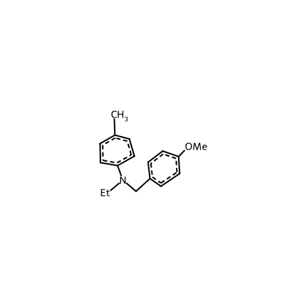 CCN(Cc1ccc(OC)cc1)c1ccc(C)cc1